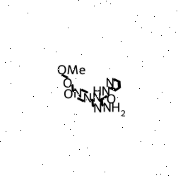 COCCOCC(=O)N1CCN(c2cnc(N)c(C(=O)Nc3ccccn3)n2)CC1